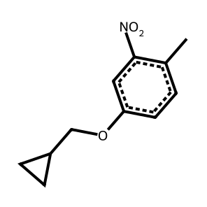 Cc1ccc(OCC2CC2)cc1[N+](=O)[O-]